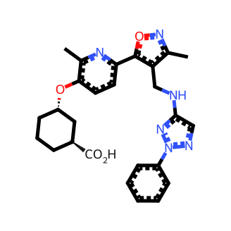 Cc1nc(-c2onc(C)c2CNc2cnn(-c3ccccc3)n2)ccc1O[C@H]1CCC[C@H](C(=O)O)C1